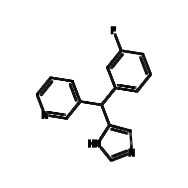 Fc1cccc(C(c2cccnc2)c2cnc[nH]2)c1